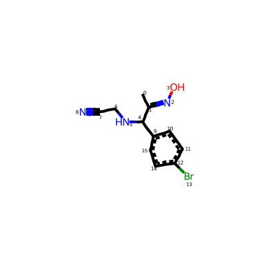 CC(=NO)C(NCC#N)c1ccc(Br)cc1